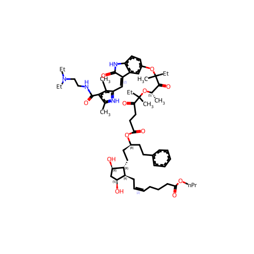 CCCOC(=O)CCC/C=C\C[C@@H]1[C@@H](CC[C@H](CCc2ccccc2)OC(=O)CCC(=O)C(C)(CC)O[C@@H](C)C(=O)C(C)(CC)Oc2ccc3c(c2)/C(=C/c2[nH]c(C)c(C(=O)NCCN(CC)CC)c2C)C(=O)N3)[C@H](O)C[C@@H]1O